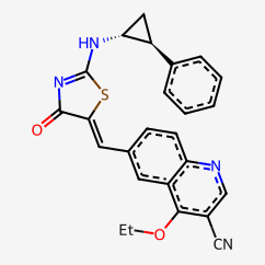 CCOc1c(C#N)cnc2ccc(/C=C3\SC(N[C@@H]4C[C@H]4c4ccccc4)=NC3=O)cc12